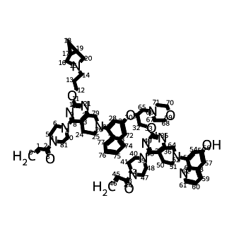 C=CC(=O)N1CCN(c2nc(OCCCN3CC4CC4C3)nc3c2CCN(c2cc(OC(COc4nc5c(c(N6CCN(C(=O)C=C)CC6)n4)CCN(c4cc(O)cc6cccnc46)C5)CN4CCOCC4)cc4ccccc24)C3)CC1